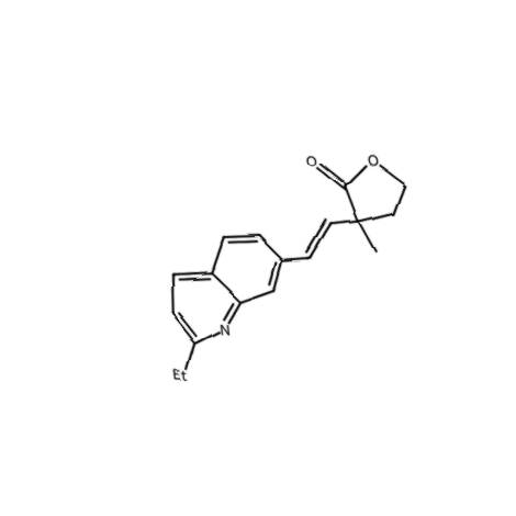 CCc1ccc2ccc(/C=C/C3(C)CCOC3=O)cc2n1